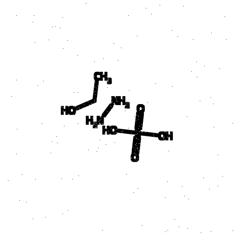 CCO.NN.O=S(=O)(O)O